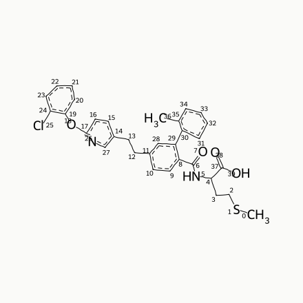 CSCCC(NC(=O)c1ccc(CCc2ccc(Oc3ccccc3Cl)nc2)cc1-c1ccccc1C)C(=O)O